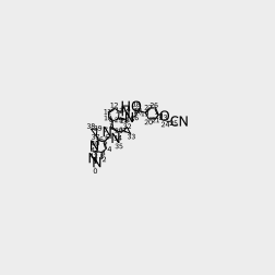 Cn1cc2cc(-c3nc(-c4cccc5nn(C[C@H](O)c6ccc(OCC#N)cc6)cc45)c(C4CC4)n3C)c(C3CC3)nc2n1